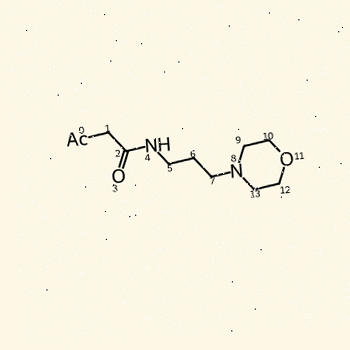 CC(=O)CC(=O)NCCCN1CCOCC1